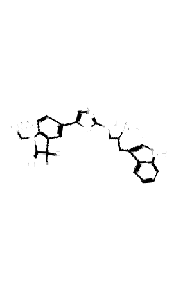 COCN1C(=O)C(F)(F)c2cc(-c3cnc(NCC(N)Cc4c[nH]c5ccccc45)s3)ccc21